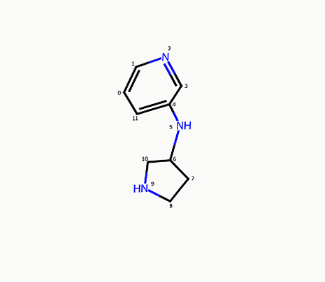 c1cncc(NC2CCNC2)c1